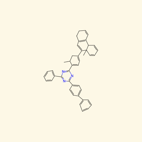 CC1CC(C2=CC3=C(C=CCC3)C3C=CC=CC23C)=CC=C1c1nc(-c2ccccc2)nc(-c2ccc(-c3ccccc3)cc2)n1